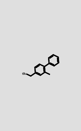 Cc1cc(CC(C)(C)C)ccc1-c1ccccc1